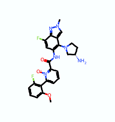 COc1cccc(F)c1-c1cccc(C(=O)Nc2cc(F)c3nn(C)cc3c2N2CC[C@H](N)C2)[n+]1[O-]